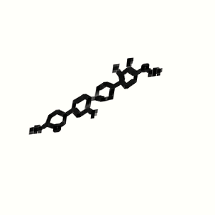 CCCOc1ccc(-c2ccc(-c3ccc(C4CCC(CCC)OC4)cc3F)cc2)c(F)c1F